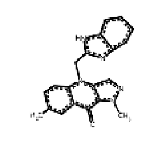 Cc1ccc2c(c1)c(=O)c1c(cnn1C)n2Cc1nc2ccccc2[nH]1